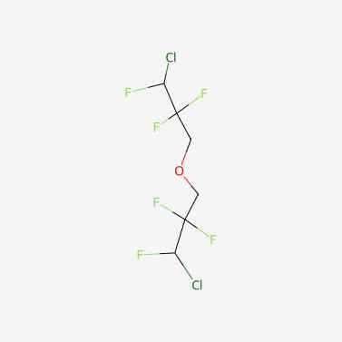 FC(Cl)C(F)(F)COCC(F)(F)C(F)Cl